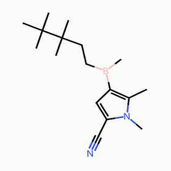 CB(CCC(C)(C)C(C)(C)C)c1cc(C#N)n(C)c1C